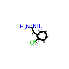 NC(N)Cc1ccccc1Cl